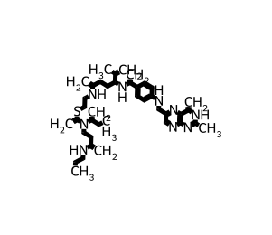 C=C(CCC(NC(=C)c1ccc(NCc2cnc3c(n2)C(=C)NC(C)=N3)cc1)C(=C)C)NCCSC(=C)N(CCC(=C)NCCC)C(=C)CC